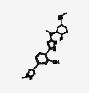 CNC1CCC(F)[C@@H](N(C)c2nnc(-c3ccc(-c4cnn(C)c4)cc3O)s2)C1